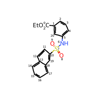 CCOC(=O)c1cccc(NS(=O)(=O)c2ccc3ccccc3c2)c1